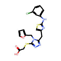 O=C(O)CSc1nnc(Cc2csc(Nc3cccc(Cl)c3)n2)n1Cc1ccco1